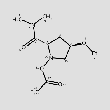 CCO[C@@H]1C[C@@H](C(=O)N(C)C)N(OC(=O)C(F)(F)F)C1